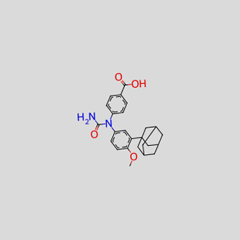 COc1ccc(N(C(N)=O)c2ccc(C(=O)O)cc2)cc1C12CC3CC(CC(C3)C1)C2